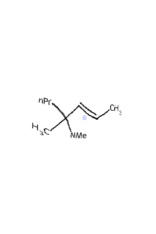 C/C=C/C(C)(CCC)NC